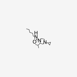 CCCCCNC(=O)N1CCN(C2CC2)CC1C(C)C